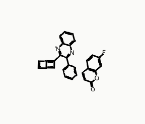 O=c1ccc2ccc(F)cc2o1.c1ccc(-c2nc3ccccc3nc2-c2cc3ccc2-3)cc1